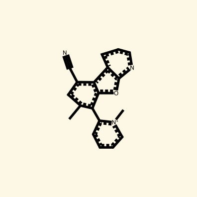 Cc1cc(C#N)c2c(oc3ncccc32)c1-c1cccc[n+]1C